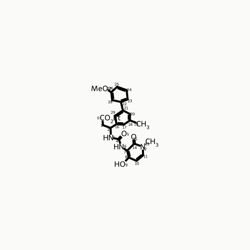 CCOC(=O)CC(NC(=O)Nc1c(O)ccn(C)c1=O)c1cc(C)cc(-c2cccc(OC)c2)c1